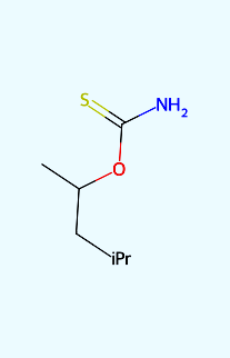 CC(C)CC(C)OC(N)=S